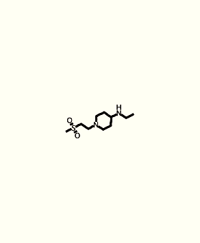 CCNC1CCN(CCS(C)(=O)=O)CC1